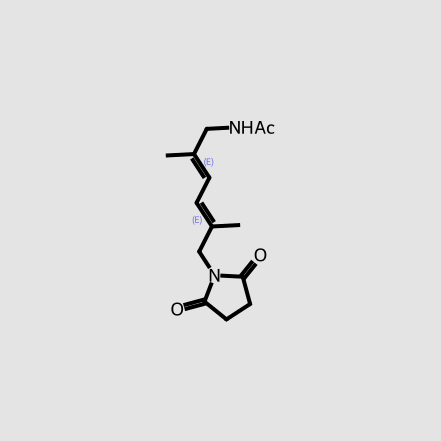 CC(=O)NC/C(C)=C/C=C(\C)CN1C(=O)CCC1=O